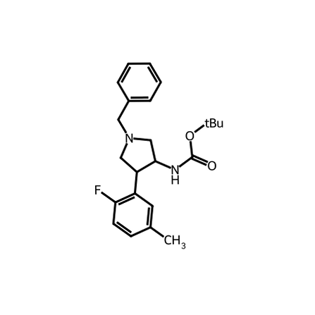 Cc1ccc(F)c(C2CN(Cc3ccccc3)CC2NC(=O)OC(C)(C)C)c1